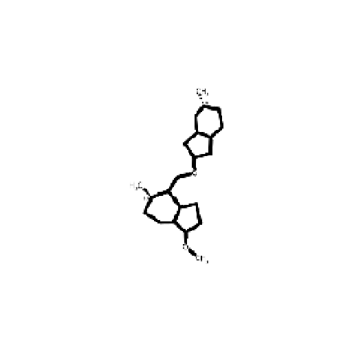 COC1CCC2C1CC[C@@H](C)C2COC1CC2CC[C@@H](C)CC2C1